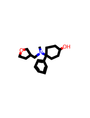 CN(CC1CCOC1)C1(c2ccccc2)CCC(O)CC1